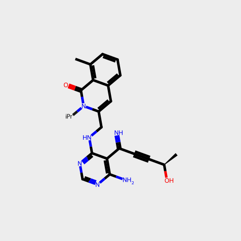 Cc1cccc2cc(CNc3ncnc(N)c3C(=N)C#C[C@@H](C)O)n(C(C)C)c(=O)c12